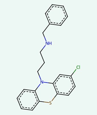 Clc1ccc2c(c1)N(CCCNCc1ccccc1)c1ccccc1S2